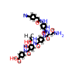 CCCOc1c(NC(=O)c2ccc(NC(=O)[C@H](CC(N)=O)NC(=O)c3ccc(NC(=O)Cc4ccc(C#N)cc4)cc3)cc2)ccc(C(=O)Nc2ccc(C(=O)O)cc2)c1O